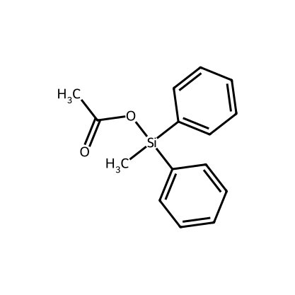 CC(=O)O[Si](C)(c1ccccc1)c1ccccc1